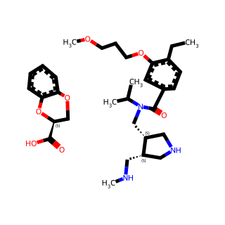 CCc1ccc(C(=O)N(C[C@@H]2CNC[C@@H]2CNC)C(C)C)cc1OCCCOC.O=C(O)[C@@H]1COc2ccccc2O1